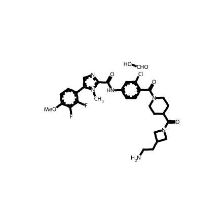 COc1ccc(-c2cnc(C(=O)Nc3ccc(C(=O)N4CCC(C(=O)N5CC(CCN)C5)CC4)c(Cl)c3)n2C)c(F)c1F.O=CO